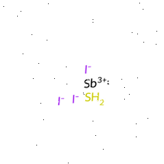 S.[I-].[I-].[I-].[Sb+3]